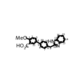 COc1ccc(-c2ccc(Cc3nc4ccccc4[nH]3)cc2)cc1C(=O)O